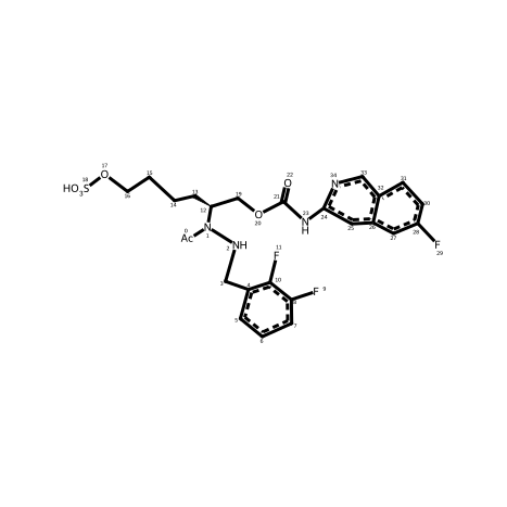 CC(=O)N(NCc1cccc(F)c1F)[C@@H](CCCCOS(=O)(=O)O)COC(=O)Nc1cc2cc(F)ccc2cn1